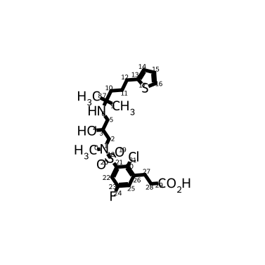 CN(CC(O)CNC(C)(C)CCCc1cccs1)S(=O)(=O)c1cc(F)cc(CCC(=O)O)c1Cl